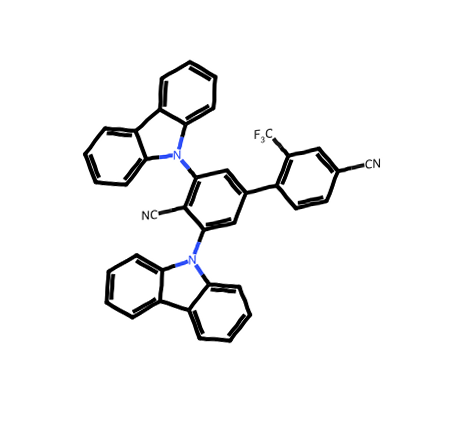 N#Cc1ccc(-c2cc(-n3c4ccccc4c4ccccc43)c(C#N)c(-n3c4ccccc4c4ccccc43)c2)c(C(F)(F)F)c1